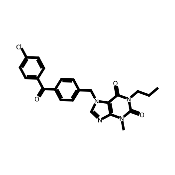 CCCn1c(=O)c2c(ncn2Cc2ccc(C(=O)c3ccc(Cl)cc3)cc2)n(C)c1=O